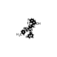 CCc1c(F)ccc2cc(O)cc(-c3ncc4c(OS(=O)(=O)c5ccc(C)cc5)nc(OC[C@@]56CCCN5C[C@H](F)C6)nc4c3F)c12